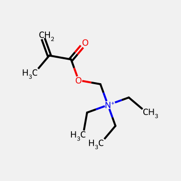 C=C(C)C(=O)OC[N+](CC)(CC)CC